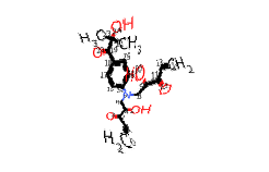 C=CC(=O)C(O)CN(CC(O)C(=O)C=C)c1ccc(C(=O)C(C)(C)O)cc1